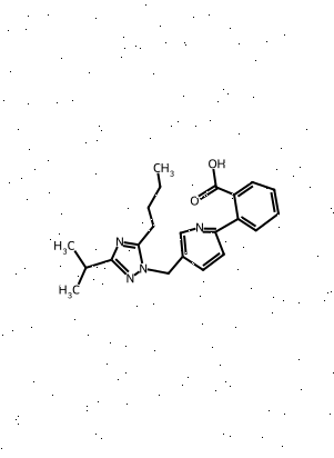 CCCCc1nc(C(C)C)nn1Cc1ccc(-c2ccccc2C(=O)O)nc1